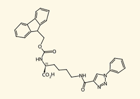 O=C(N[C@@H](CCCCNC(=O)c1cn(-c2ccccc2)nn1)C(=O)O)OCC1c2ccccc2-c2ccccc21